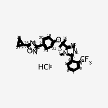 Cl.Cn1c(-c2ccccc2C(F)(F)F)nnc1C(C)(C)Oc1ccc(-c2noc(C3CC3)n2)cc1